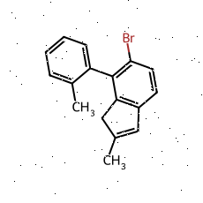 CC1=Cc2ccc(Br)c(-c3ccccc3C)c2C1